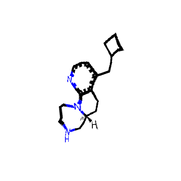 c1cc(CC2CCC2)c2c(n1)N1CCNC[C@H]1CC2